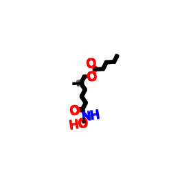 CCCCC(=O)OC[C@H](C)CCCC(=O)NO